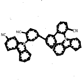 N#Cc1ccc2c3ccccc3n(-c3cc(-c4cccc(-c5cccc(C#N)c5-n5c6ccccc6c6ccccc65)c4)ccc3C#N)c2c1